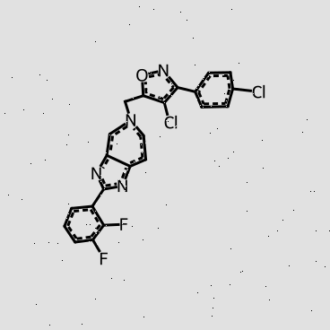 Fc1cccc(-c2nc3ccn(Cc4onc(-c5ccc(Cl)cc5)c4Cl)cc-3n2)c1F